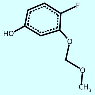 COCOc1cc(O)ccc1F